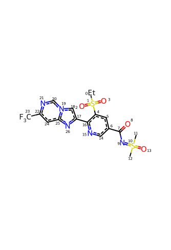 CCS(=O)(=O)c1cc(C(=O)N=S(C)(C)=O)cnc1-c1cn2cnc(C(F)(F)F)cc2n1